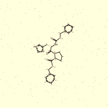 O=C(N[C@@H](Cc1c[nH]cn1)C(=O)N1CCC[C@H]1C(=O)OCc1ccccc1)OCc1ccccc1